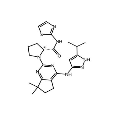 CC(C)c1cc(Nc2nc(N3CCC[C@@H]3C(=O)Nc3nccs3)nc3c2CCC3(C)C)n[nH]1